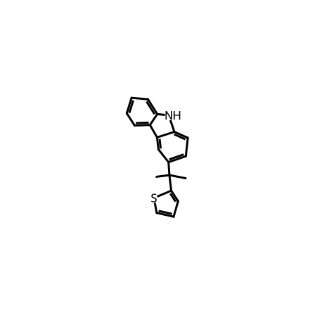 CC(C)(c1ccc2[nH]c3ccccc3c2c1)c1cccs1